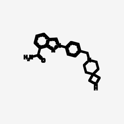 NC(=O)c1cccc2cn(-c3ccc(CN4CCC5(CC4)CNC5)cc3)nc12